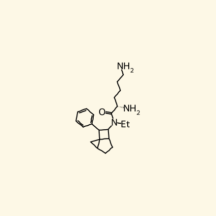 CCN(C(=O)[C@@H](N)CCCCN)C1C2CCC3CC32C1c1ccccc1